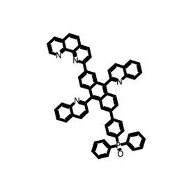 O=P(c1ccccc1)(c1ccccc1)c1ccc(-c2ccc3c(-c4ccc5ccccc5n4)c4cc(-c5ccc6ccc7cccnc7c6n5)ccc4c(-c4ccc5ccccc5n4)c3c2)cc1